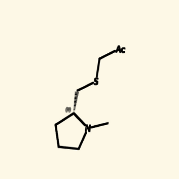 CC(=O)CSC[C@H]1CCCN1C